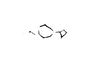 C[C@H]1CN[C@@H](CCS)CCN1C1CCC1